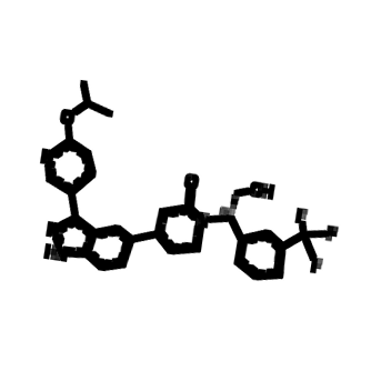 CC(C)Oc1ccc(-c2n[nH]c3ccc(-c4ccn([C@H](CO)c5cccc(C(F)(F)F)c5)c(=O)c4)cc23)cn1